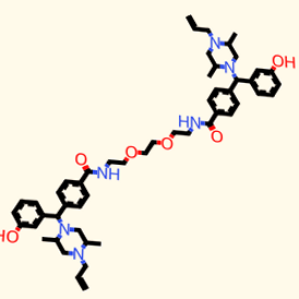 C=CCN1CC(C)N(C(c2ccc(C(=O)NCCOCCOCCNC(=O)c3ccc(C(c4cccc(O)c4)N4CC(C)N(CC=C)CC4C)cc3)cc2)c2cccc(O)c2)CC1C